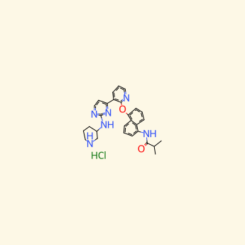 CC(C)C(=O)Nc1cccc2c(Oc3ncccc3-c3ccnc(NC4CCCNC4)n3)cccc12.Cl